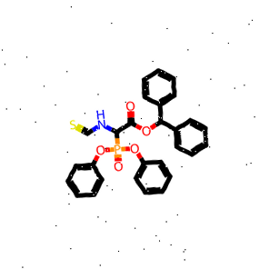 O=C(OC(c1ccccc1)c1ccccc1)C(NC=S)P(=O)(Oc1ccccc1)Oc1ccccc1